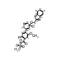 COc1cc(C(=O)NS(C)(=O)=O)c(F)cc1C1=CC(Cl)(OCc2nc3ccccc3s2)C=NC1